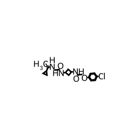 C[C@@H](NCC(=O)NC1CC(NC(=O)COc2ccc(Cl)cc2)C1)C1CC1